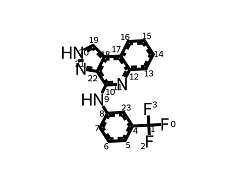 FC(F)(F)c1cccc(Nc2nc3ccccc3c3c[nH]nc23)c1